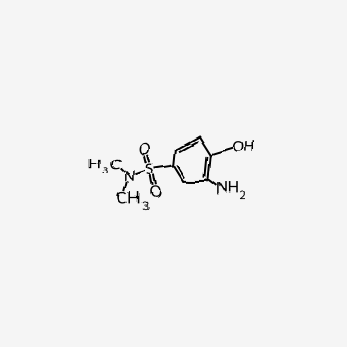 CN(C)S(=O)(=O)c1ccc(O)c(N)c1